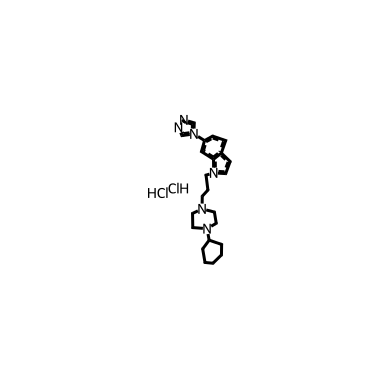 Cl.Cl.c1cc2ccn(CCCN3CCN(C4CCCCC4)CC3)c2cc1-n1cnnc1